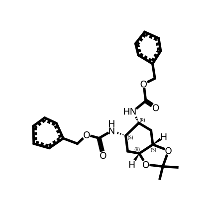 CC1(C)O[C@H]2C[C@@H](NC(=O)OCc3ccccc3)[C@@H](NC(=O)OCc3ccccc3)C[C@H]2O1